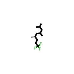 CC(C)CC(C)C[C@H](C)CCC(F)(F)F